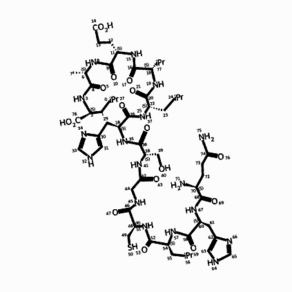 CC(C)C[C@H](NC(=O)[C@H](C)NC(=O)[C@H](CCC(=O)O)NC(=O)[C@@H](NC(=O)[C@H](CC(C)C)NC(=O)[C@H](Cc1c[nH]cn1)NC(=O)[C@H](CO)NC(=O)CNC(=O)[C@H](CS)NC(=O)[C@H](CC(C)C)NC(=O)[C@H](Cc1c[nH]cn1)NC(=O)[C@@H](N)CCC(N)=O)C(C)C)C(=O)O